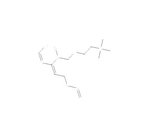 C=NNC/C=C(/N=C\CC)N(N)COCC[Si](C)(C)C